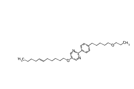 CCCCC=CCCCCCOc1cnc(-c2ccc(CCCCCOCCC)cc2)nc1